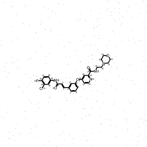 O=C(C=Cc1cccc(Oc2ccnc(C(=O)NCCN3CCOCC3)c2)c1)Nc1ccc(F)c(Cl)c1